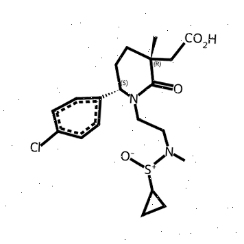 CN(CCN1C(=O)[C@@](C)(CC(=O)O)CC[C@H]1c1ccc(Cl)cc1)[S+]([O-])C1CC1